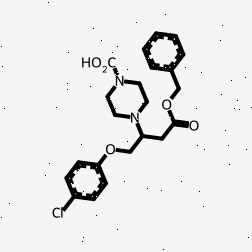 O=C(CC(COc1ccc(Cl)cc1)N1CCN(C(=O)O)CC1)OCc1ccccc1